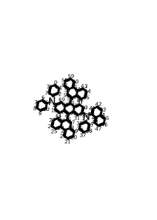 c1ccc(N(c2ccccc2)c2ccc3c(-c4cc5ccccc5c5ccccc45)c4cc(N(c5ccccc5)c5cccc6ccccc56)ccc4c(-c4cc5ccccc5c5ccccc45)c3c2)cc1